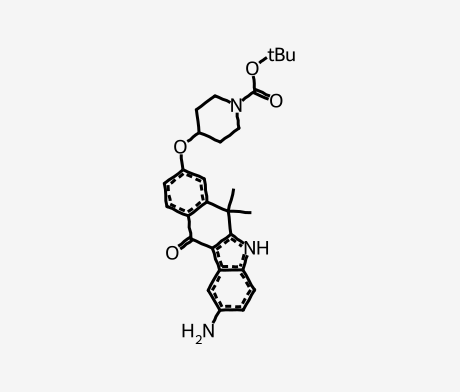 CC(C)(C)OC(=O)N1CCC(Oc2ccc3c(c2)C(C)(C)c2[nH]c4ccc(N)cc4c2C3=O)CC1